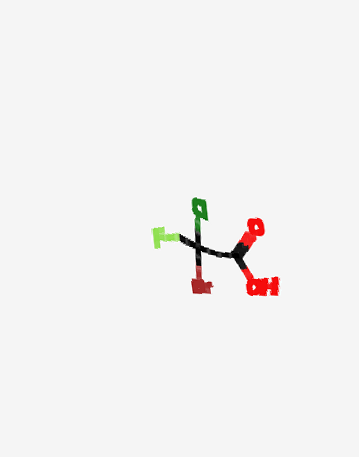 O=C(O)C(F)(Cl)Br